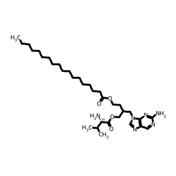 CCCCCCCCCCCCCCCCCC(=O)OCCC(COC(=O)[C@@H](N)C(C)C)Cn1cnc2cnc(N)nc21